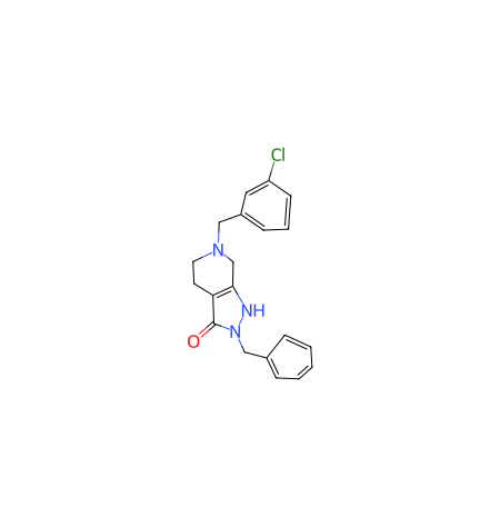 O=c1c2c([nH]n1Cc1ccccc1)CN(Cc1cccc(Cl)c1)CC2